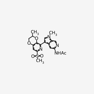 CC(=O)Nc1cc2c(-c3nc(S(C)(=O)=O)cc4c3OC(C)CO4)cn(C)c2cn1